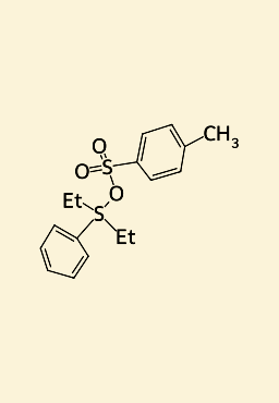 CCS(CC)(OS(=O)(=O)c1ccc(C)cc1)c1ccccc1